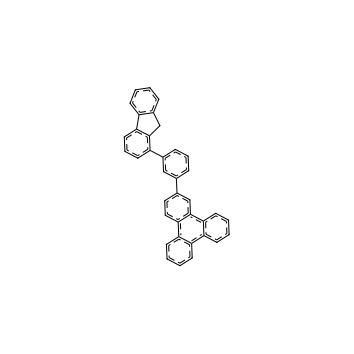 c1cc(-c2ccc3c4ccccc4c4ccccc4c3c2)cc(-c2cccc3c2Cc2ccccc2-3)c1